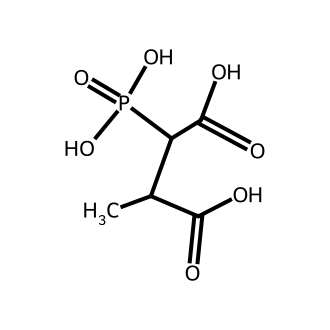 CC(C(=O)O)C(C(=O)O)P(=O)(O)O